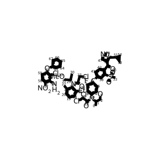 CC1COc2ccccc2N1C(=O)C(Cl)Cl.CCc1cccc(C)c1N(C(=O)CCl)C(C)COC.CS(=O)(=O)c1cc(C(F)(F)F)ccc1C(=O)c1cnoc1C1CC1.Nc1c([N+](=O)[O-])ccc(Oc2ccccc2)c1Cl